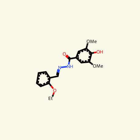 CCOc1ccccc1C=NNC(=O)c1cc(OC)c(O)c(OC)c1